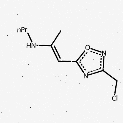 CCCN/C(C)=C/c1nc(CCl)no1